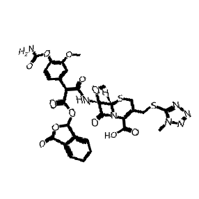 COc1cc(C(C(=O)N[C@]2(OC)C(=O)N3C(C(=O)O)=C(CSc4nnnn4C)CS[C@H]32)C(=O)OC2OC(=O)c3ccccc32)ccc1OC(N)=O